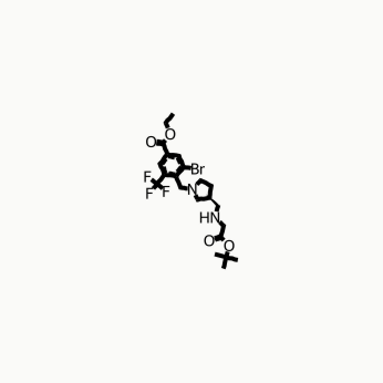 CCOC(=O)c1cc(Br)c(CN2CC[C@@H](CNCC(=O)OC(C)(C)C)C2)c(C(F)(F)F)c1